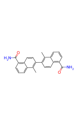 Cc1c(-c2ccc3c(C(N)=O)cccc3c2C)ccc2c(C(N)=O)cccc12